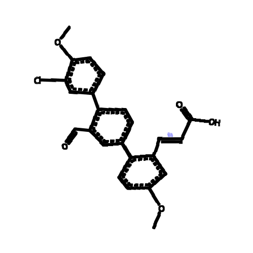 COc1ccc(-c2ccc(-c3ccc(OC)c(Cl)c3)c(C=O)c2)c(/C=C/C(=O)O)c1